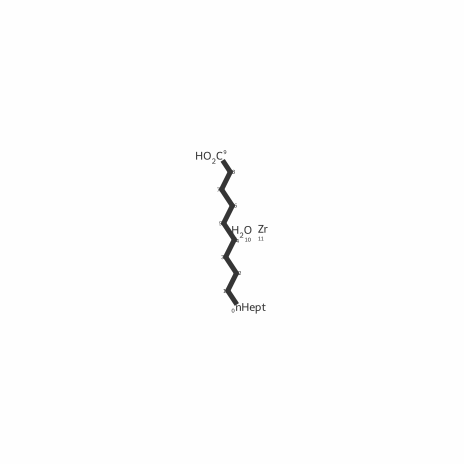 CCCCCCCCCCCCCCCC(=O)O.O.[Zr]